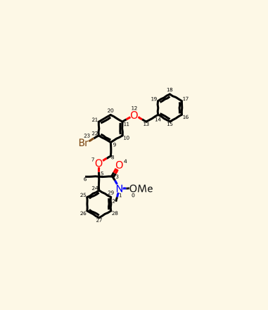 CON(C)C(=O)C(C)(OCc1cc(OCc2ccccc2)ccc1Br)c1ccccc1